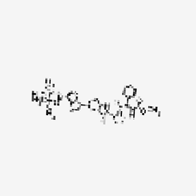 COC(=O)N[C@@H](C(=O)N1CCCC1c1nc2ccc(-c3csc4c(B5OC(C)(C)C(C)(C)O5)csc34)cc2[nH]1)c1ccccc1